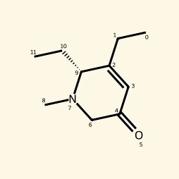 CCC1=CC(=O)CN(C)[C@@H]1CC